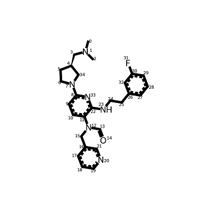 CN(C)C[C@@H]1CCN(c2ccc(N(C=O)Cc3cccnc3)c(NCCc3cccc(F)c3)n2)C1